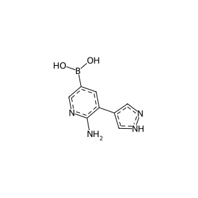 Nc1ncc(B(O)O)cc1-c1cn[nH]c1